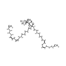 CCCCC/C=C\C/C=C\CCCCCCCCC1(CCCCCCCC/C=C\C/C=C\CCCCC)OCC([N+](C)(C)C)O1